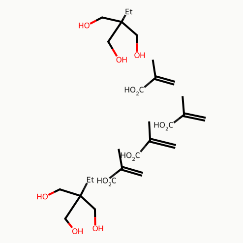 C=C(C)C(=O)O.C=C(C)C(=O)O.C=C(C)C(=O)O.C=C(C)C(=O)O.CCC(CO)(CO)CO.CCC(CO)(CO)CO